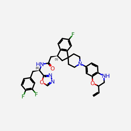 C=CC1CNc2ccc(N3CCC4(CC3)C[C@@H](CC(=O)N[C@H](Cc3ccc(F)c(F)c3)c3nnco3)c3ccc(F)cc34)cc2O1